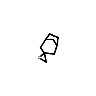 C1CC2CC1CC1(CO1)C2